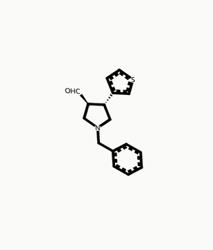 O=C[C@@H]1CN(Cc2ccccc2)C[C@H]1c1ccsc1